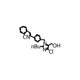 CCCCc1nc(Cl)c(CO)n1Cc1ccc(/C=C/c2ccccc2C#N)cc1